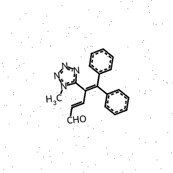 Cn1nnnc1C(C=CC=O)=C(c1ccccc1)c1ccccc1